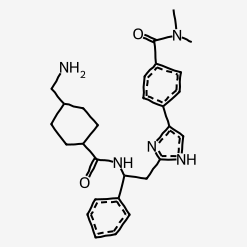 CN(C)C(=O)c1ccc(-c2c[nH]c(CC(NC(=O)C3CCC(CN)CC3)c3ccccc3)n2)cc1